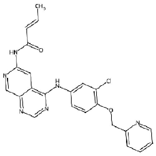 C/C=C/C(=O)Nc1cc2c(Nc3ccc(OCc4ccccn4)c(Cl)c3)ncnc2cn1